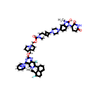 C#Cc1c(F)ccc2cccc(-c3ncc4c(N5CC6CCC(C5)N6)nc(OC[C@@]56CCCN5[C@H](COC(=O)N5CCC7(CC5)CC(N5CCN(c8ccc9c(c8)n(C)c(=O)n9C8CCC(=O)NC8=O)CC5)C7)CC6)nc4c3F)c12